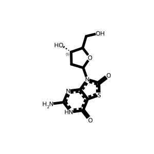 Nc1nc2c(sc(=O)n2C2C[C@H](O)C(CO)O2)c(=O)[nH]1